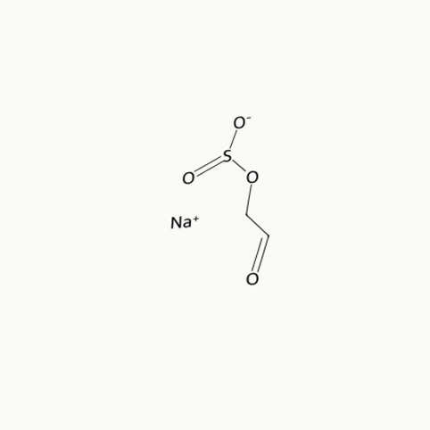 O=CCOS(=O)[O-].[Na+]